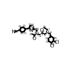 CC(=O)N(C[C@@H]1CN(Cc2ccc(Cl)c(Cl)c2)CCO1)Sc1nc(-c2ccc(C#N)cc2)cs1